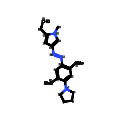 COc1cc(N2CCCC2)c(OC)cc1/N=N/c1cc(CC=O)n(C)c1